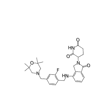 CC1(C)CN(Cc2ccc(CNc3cccc4c3CN(C3CCC(=O)NC3=O)C4=O)c(F)c2)CC(C)(C)O1